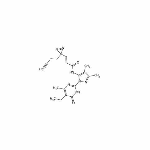 C#CCCC1(/C=C/C(=O)Nc2c(C)c(C)nn2-c2nc(C)c(CC)c(=O)[nH]2)N=N1